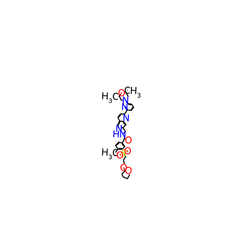 Cc1ccc(C(=O)NCc2cc3nc(-c4cccc(N5C[C@@H](C)O[C@@H](C)C5)n4)ccc3cn2)cc1S(=O)(=O)CCCOC1CCCCO1